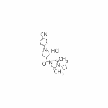 C[C@@H]1CN(C(=O)C2CCN(c3ccc(C#N)cc3)CC2)C[C@H](C)N1C1CCC1.Cl